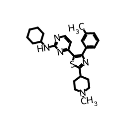 Cc1cccc(-c2nc(C3CCN(C)CC3)sc2-c2ccnc(NC3CCCCC3)n2)c1